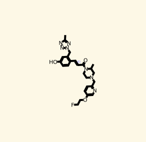 Cc1nnn(Cc2cc(O)ccc2/C=C/C(=O)N2CCN(Cc3ccc(OCCF)cn3)CC2C)n1